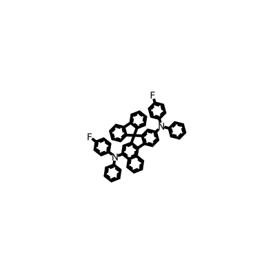 Fc1ccc(N(c2ccccc2)c2ccc3c(c2)C2(c4ccccc4-c4ccccc42)c2cc(N(c4ccccc4)c4ccc(F)cc4)c4ccccc4c2-3)cc1